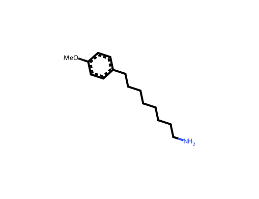 COc1ccc(CCCCCCCCN)cc1